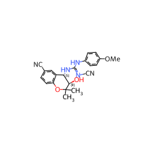 COc1ccc(NC(=NC#N)N[C@H]2c3cc(C#N)ccc3OC(C)(C)[C@@H]2O)cc1